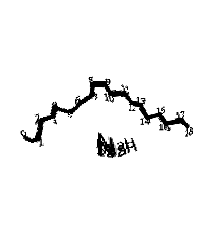 CCCCCCCC/C=C\CCCCCCCCC.[NaH].[NaH]